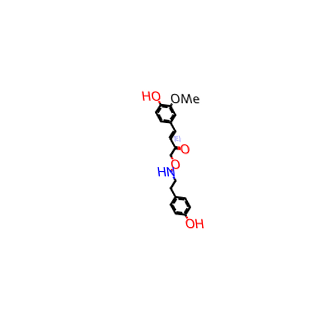 COc1cc(/C=C/C(=O)CONCCc2ccc(O)cc2)ccc1O